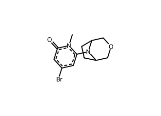 Cn1c(N2C3CCC2COC3)cc(Br)cc1=O